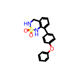 O=S1(=O)NCc2cccc(-c3ccc(Oc4ccccc4)cc3)c2N1